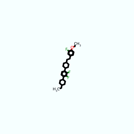 CCOc1ccc(CCC2CCC(c3ccc(C4CCC(CC)CC4)c(F)c3F)CC2)cc1F